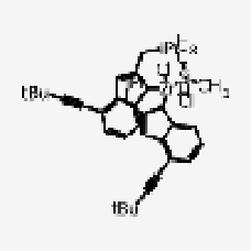 CC(C)CC1=Cc2c(C#CC(C)(C)C)cccc2[CH]1[Zr]([Cl])([Cl])([CH]1C(CC(C)C)=Cc2c(C#CC(C)(C)C)cccc21)[SiH](C)C